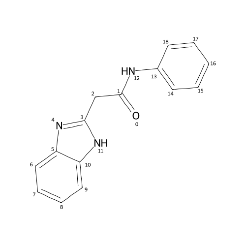 O=C(Cc1nc2ccccc2[nH]1)Nc1ccccc1